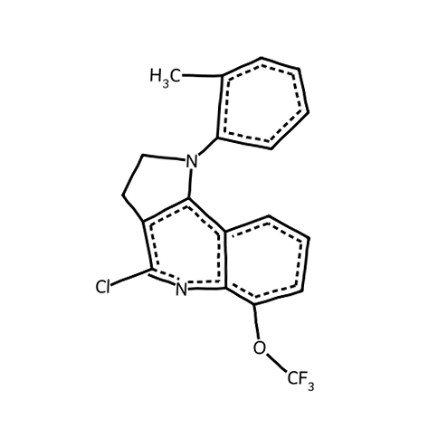 Cc1ccccc1N1CCc2c(Cl)nc3c(OC(F)(F)F)cccc3c21